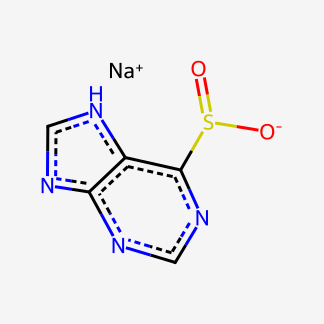 O=S([O-])c1ncnc2nc[nH]c12.[Na+]